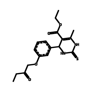 CCOC(=O)C1=C(C)NC(=S)NC1c1cccc(OCC(=O)CC)c1